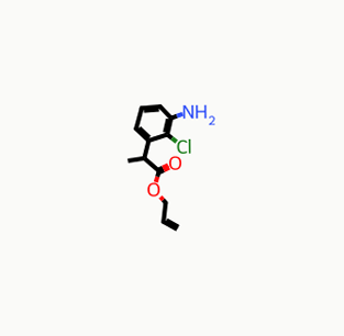 C=CCOC(=O)C(C)c1cccc(N)c1Cl